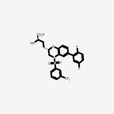 O=C(O)[C@H](O)CC[C@H]1CN(S(=O)(=O)c2cccc(C(F)(F)F)c2)c2cc(-c3cc(F)ccc3F)ccc2O1